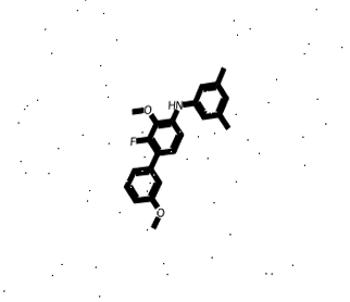 COc1cccc(-c2ccc(Nc3cc(C)cc(C)c3)c(OC)c2F)c1